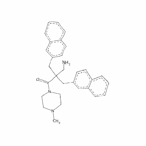 CN1CCN(C(=O)C(CN)(Cc2ccc3ccccc3c2)Cc2ccc3ccccc3c2)CC1